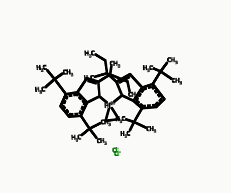 CCC(C)C1=Cc2c(C(C)(C)C)ccc(C(C)(C)C)c2[CH]1[Hf+2]1([CH]2C(C(C)CC)=Cc3c(C(C)(C)C)ccc(C(C)(C)C)c32)[CH2][CH2]1.[Cl-].[Cl-]